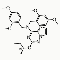 CC[C@H](C)Oc1nc(N(Cc2ccc(OC)cc2OC)Cc2ccc(OC)cc2OC)c2nccn2n1